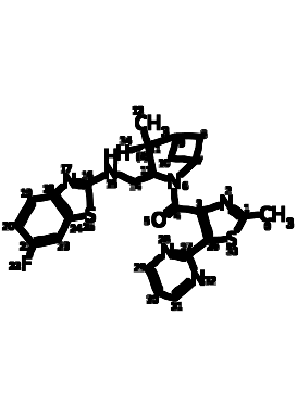 Cc1nc(C(=O)N2C3CC(C3)[C@@H](C)C2CNc2nc3ccc(F)cc3s2)c(-c2ncccn2)s1